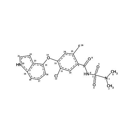 CN(C)S(=O)(=O)NC(=O)c1cc(Cl)c(Oc2cccc3[nH]ccc23)cc1F